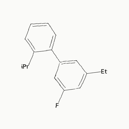 CCc1cc(F)cc(-c2ccccc2C(C)C)c1